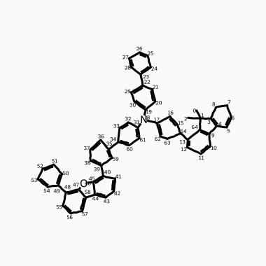 CC1(C)C2=C(C=CCC2)c2cccc(C3C=CC(N(c4ccc(-c5ccccc5)cc4)c4ccc(-c5cccc(-c6cccc7c6oc6c(-c8ccccc8)cccc67)c5)cc4)=CC3)c21